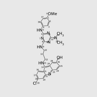 COc1ccc(Nc2nc(NCCCNc3c4ccc(Cl)cc4nc4ccc(O)cc34)nc(N(C)C)n2)cc1